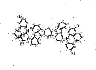 CCc1ccc(N(c2ccc(CC)cc2-c2ccccc2)c2ccc3c4cc5c(cc4n4c6ccccc6c2c34)c2ccc(N(c3ccc(CC)cc3)c3ccc(CC)cc3-c3ccccc3)c3c4ccccc4n5c23)cc1